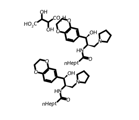 CCCCCCCC(=O)N[C@H](CN1CCCC1)[C@H](O)c1ccc2c(c1)OCCO2.CCCCCCCC(=O)N[C@H](CN1CCCC1)[C@H](O)c1ccc2c(c1)OCCO2.O=C(O)C(O)C(O)C(=O)O